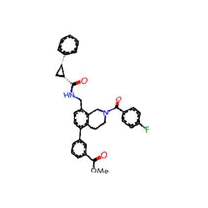 COC(=O)c1cccc(-c2ccc(CNC(=O)[C@@H]3C[C@@H]3c3ccccc3)c3c2CCN(C(=O)c2ccc(F)cc2)C3)c1